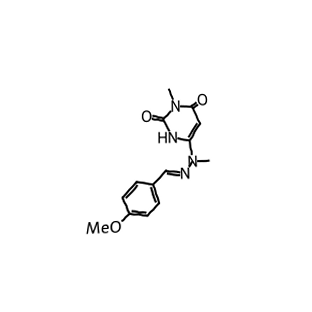 COc1ccc(C=NN(C)c2cc(=O)n(C)c(=O)[nH]2)cc1